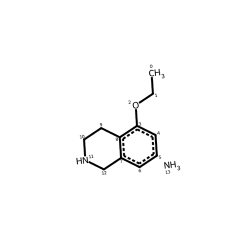 CCOc1cccc2c1CCNC2.N